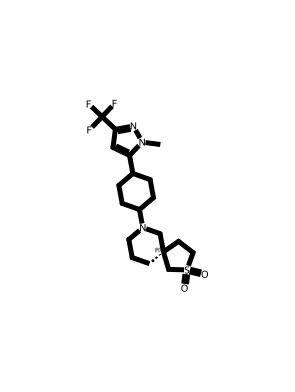 Cn1nc(C(F)(F)F)cc1C1CCC(N2CCC[C@@]3(CCS(=O)(=O)C3)C2)CC1